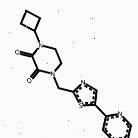 O=C1C(=O)N(C2CCC2)CCN1Cc1ncc(-c2ccccn2)s1